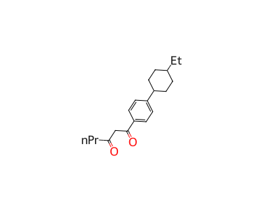 CCCC(=O)CC(=O)c1ccc(C2CCC(CC)CC2)cc1